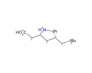 CC(C)(C)CCCCCC(=O)O.CC(C)N